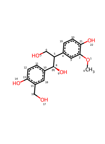 COc1cc(C(CO)[C@@H](O)c2ccc(O)c(CO)c2)ccc1O